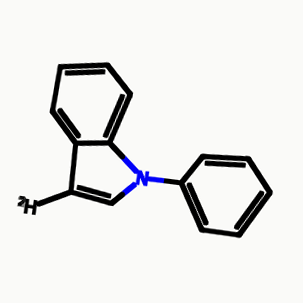 [2H]c1cn(-c2ccccc2)c2ccccc12